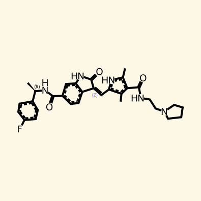 Cc1[nH]c(/C=C2\C(=O)Nc3cc(C(=O)N[C@H](C)c4ccc(F)cc4)ccc32)c(C)c1C(=O)NCCN1CCCC1